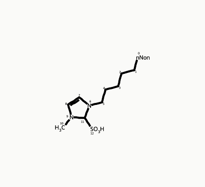 CCCCCCCCCCCCCCN1C=CN(C)C1S(=O)(=O)O